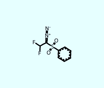 [N-]=[N+]=C(C(F)F)S(=O)(=O)c1ccccc1